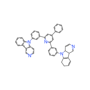 C1=CC2=C(CC1)N(c1cccc(-c3cc(-c4ccccc4)cc(-c4cccc(-n5c6ccccc6c6cnccc65)c4)n3)c1)C1C=CN=CC21